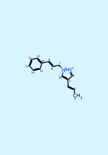 C/C=C/c1cnn(C/C=C/c2ccccc2)c1